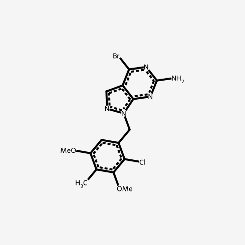 COc1cc(Cn2ncc3c(Br)nc(N)nc32)c(Cl)c(OC)c1C